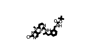 CC(Cc1cccc(CNC(=O)OC(C)(C)C)c1)Nc1nccc(N(C)c2nc(Cl)ncc2F)n1